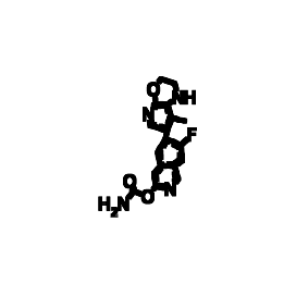 Cc1c(-c2cc3cc(OC(N)=O)ncc3cc2F)cnc2c1NCCO2